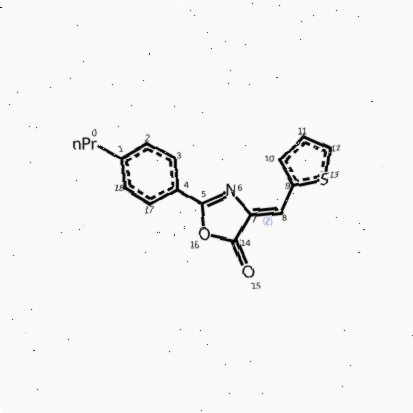 CCCc1ccc(C2=N/C(=C\c3cccs3)C(=O)O2)cc1